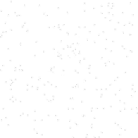 CCOC(=O)c1nc2n(n1)C(c1ccc(C(F)(F)F)c(F)c1)C(C(=O)Nc1ccc3cnccc3c1)=C(C)N2